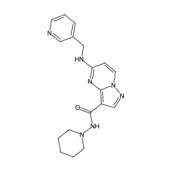 O=C(NN1CCCCC1)c1cnn2ccc(NCc3cccnc3)nc12